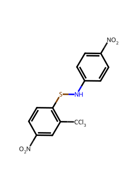 O=[N+]([O-])c1ccc(NSc2ccc([N+](=O)[O-])cc2C(Cl)(Cl)Cl)cc1